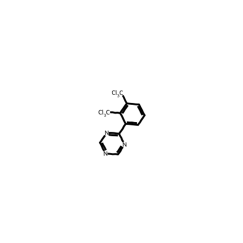 ClC(Cl)(Cl)c1cccc(-c2ncncn2)c1C(Cl)(Cl)Cl